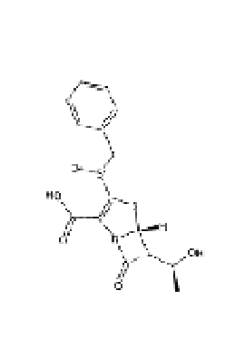 C[C@H](O)[C@@H]1C(=O)N2C(C(=O)O)=C([S+]([O-])Cc3ccccc3)S[C@H]12